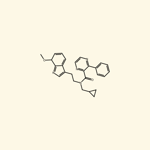 COC1C=CC=C2C(CCN(CC3CC3)C(=O)c3nccnc3-c3ccccc3)=CN=C21